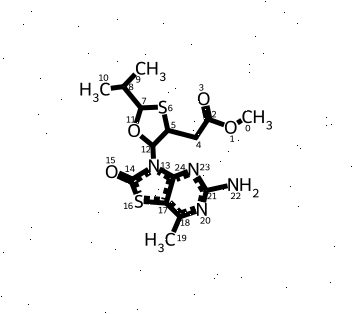 COC(=O)CC1SC(C(C)C)OC1n1c(=O)sc2c(C)nc(N)nc21